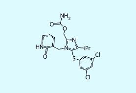 CC(C)c1nc(COC(N)=O)n(Cc2ccc[nH]c2=O)c1Sc1cc(Cl)cc(Cl)c1